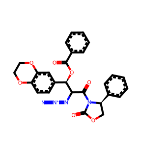 [N-]=[N+]=NC(C(=O)N1C(=O)OC[C@@H]1c1ccccc1)[C@H](OC(=O)c1ccccc1)c1ccc2c(c1)OCCO2